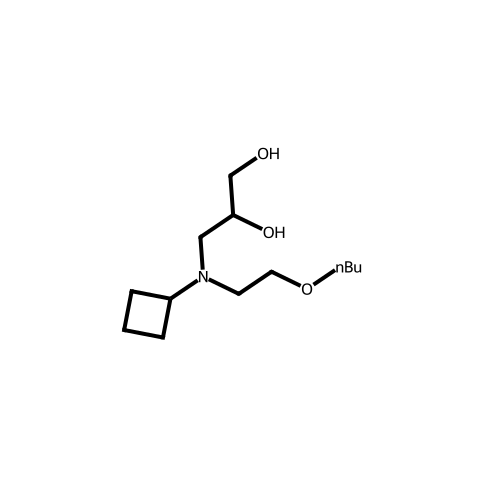 CCCCOCCN(CC(O)CO)C1CCC1